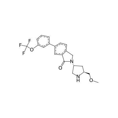 COC[C@@H]1C[C@@H](N2Cc3ccc(-c4cccc(OC(F)(F)F)c4)cc3C2=O)CN1